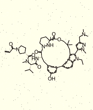 C=CC(=O)N1CC[C@H](C(=O)N(C)[C@H](C(=O)N[C@H]2Cc3cc(O)cc(c3)-c3ccc4c(c3)c(c(-c3cc(CN(C)C)nn3C)n4CC)CC(C)(C)COC(=O)[C@@H]3CCCN(N3)C2=O)C(C)C)C1